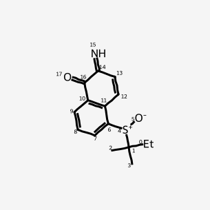 CCC(C)(C)[S+]([O-])c1cccc2c1C=CC(=N)C2=O